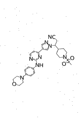 CS(=O)(=O)N1CCC(C(CC#N)n2cc(-c3ccnc(Nc4ccc(N5CCOCC5)cc4)n3)cn2)CC1